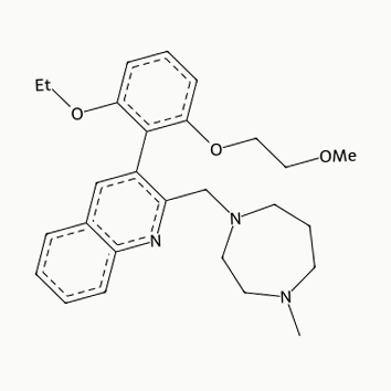 CCOc1cccc(OCCOC)c1-c1cc2ccccc2nc1CN1CCCN(C)CC1